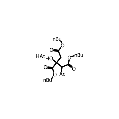 CCCCOC(=O)CC(O)(C(=O)OCCCC)C(C(C)=O)C(=O)OCCCC.[AtH]